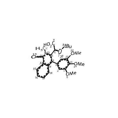 COc1cc(-c2c(C(OC(C)(C)C)C(=O)O)n(C)c(=O)c3ccccc23)cc(OC)c1OC